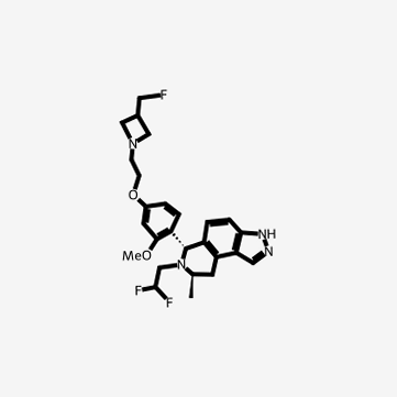 COc1cc(OCCN2CC(CF)C2)ccc1[C@@H]1c2ccc3[nH]ncc3c2C[C@@H](C)N1CC(F)F